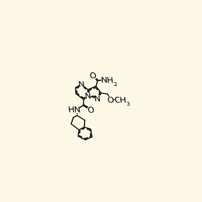 COCc1nn2c(C(=O)N[C@H]3CCc4ccccc4C3)ccnc2c1C(N)=O